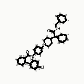 O=C(Nc1ccc(N2CCC(C(C(=O)NCc3ccccc3)c3ccccc3)CC2)cc1)c1ccccc1-c1ccc(Cl)cc1